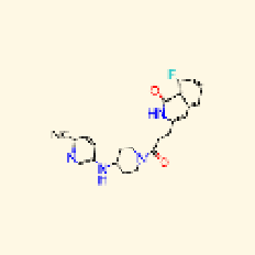 N#Cc1ccc(NC2CCN(C(=O)CCc3cc4cccc(F)c4c(=O)[nH]3)CC2)cn1